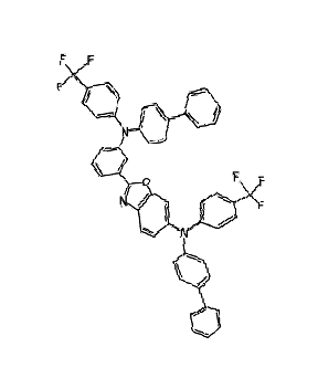 FC(F)(F)c1ccc(N(c2ccc(-c3ccccc3)cc2)c2cccc(-c3nc4ccc(N(c5ccc(-c6ccccc6)cc5)c5ccc(C(F)(F)F)cc5)cc4o3)c2)cc1